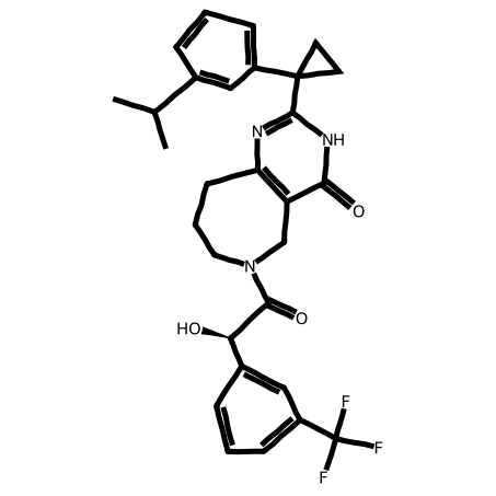 CC(C)c1cccc(C2(c3nc4c(c(=O)[nH]3)CN(C(=O)[C@H](O)c3cccc(C(F)(F)F)c3)CCC4)CC2)c1